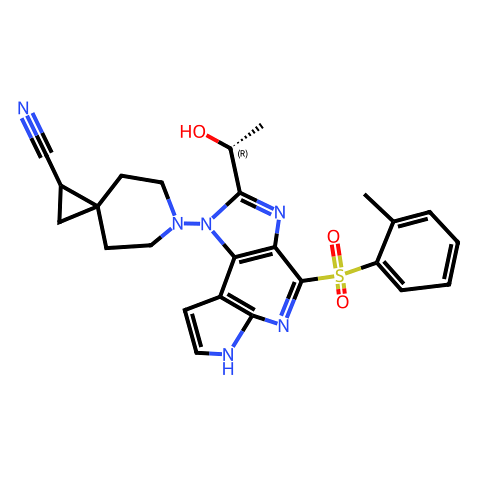 Cc1ccccc1S(=O)(=O)c1nc2[nH]ccc2c2c1nc([C@@H](C)O)n2N1CCC2(CC1)CC2C#N